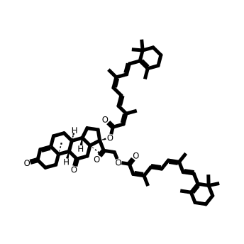 CC(C=CC1=C(C)CCCC1(C)C)=CC=CC(C)=CC(=O)OCC(=O)[C@]1(OC(=O)C=C(C)C=CC=C(C)C=CC2=C(C)CCCC2(C)C)CC[C@H]2[C@@H]3CCC4=CC(=O)CC[C@]4(C)[C@H]3C(=O)C[C@@]21C